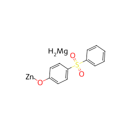 O=S(=O)(c1ccccc1)c1ccc([O][Zn])cc1.[MgH2]